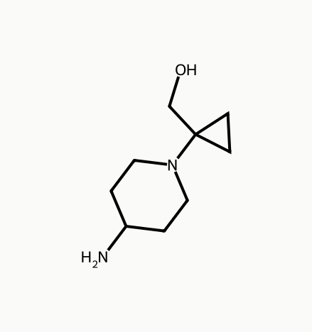 NC1CCN(C2(CO)CC2)CC1